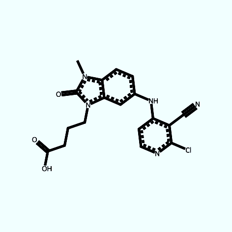 Cn1c(=O)n(CCCC(=O)O)c2cc(Nc3ccnc(Cl)c3C#N)ccc21